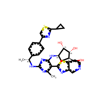 Cc1nc(N[C@H](C)c2ccc(-c3csc(C4CC4)n3)cc2)nc(N[C@@H]2C[C@H](CO)[C@@H](O)[C@H]2O)c1-c1nc2cnccc2s1